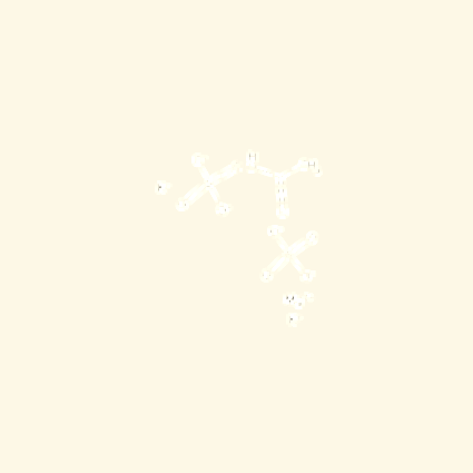 CC(=O)O.O=S(=O)([O-])[O-].O=S(=O)([O-])[O-].[K+].[K+].[Mg+2]